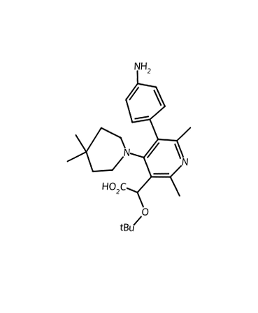 Cc1nc(C)c(C(OC(C)(C)C)C(=O)O)c(N2CCC(C)(C)CC2)c1-c1ccc(N)cc1